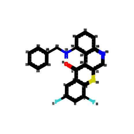 O=c1c2cc(F)cc(F)c2sc2cnc3cccc(NCc4ccccc4)c3c12